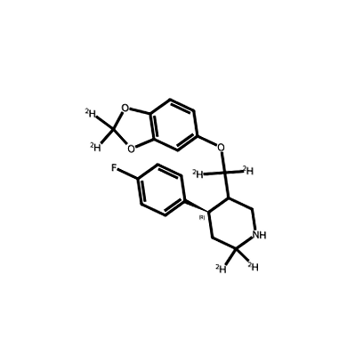 [2H]C1([2H])C[C@@H](c2ccc(F)cc2)C(C([2H])([2H])Oc2ccc3c(c2)OC([2H])([2H])O3)CN1